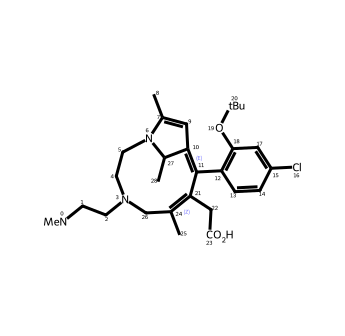 CNCCN1CCN2C(C)=C/C(=C(c3ccc(Cl)cc3OC(C)(C)C)/C(CC(=O)O)=C(/C)C1)C2C